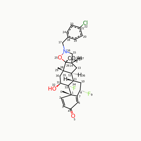 C[C@]12C=CC(=O)C=C1[C@@H](F)C[C@H]1[C@@H]3C[C@H]4CN(Cc5ccc(Cl)cc5)O[C@@]4(C(=O)O)[C@@]3(C)C[C@H](O)[C@@]12F